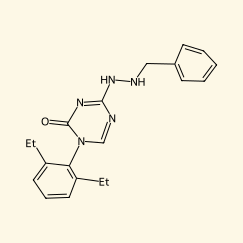 CCc1cccc(CC)c1-n1cnc(NNCc2ccccc2)nc1=O